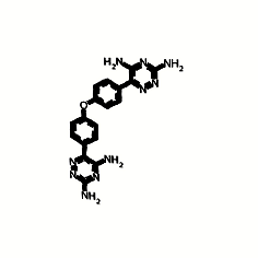 Nc1nnc(-c2ccc(Oc3ccc(-c4nnc(N)nc4N)cc3)cc2)c(N)n1